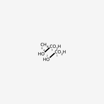 C.O=C(O)O.O=C(O)O